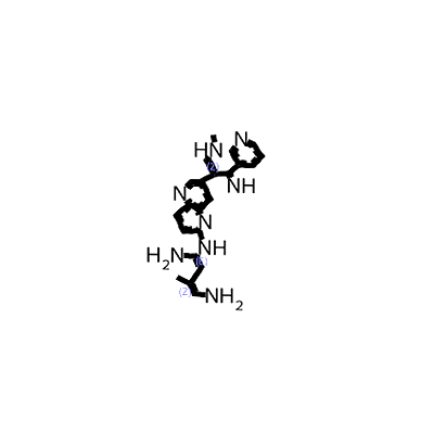 CN/C=C(\C(=N)c1cccnc1)c1cnc2ccc(N/C(N)=C/C(C)=C\N)nc2c1